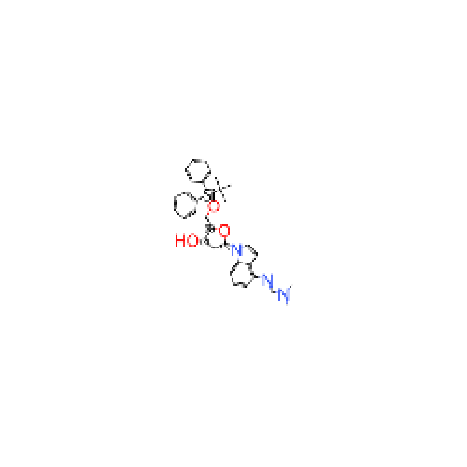 CN(C)C=Nc1cccc2c1ccn2[C@@H]1C[C@H](O)[C@@H](CO[Si](c2ccccc2)(c2ccccc2)C(C)(C)C)O1